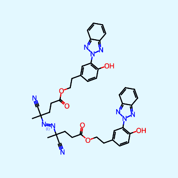 CC(C#N)(CCC(=O)OCCc1ccc(O)c(-n2nc3ccccc3n2)c1)/N=N/C(C)(C#N)CCC(=O)OCCc1ccc(O)c(-n2nc3ccccc3n2)c1